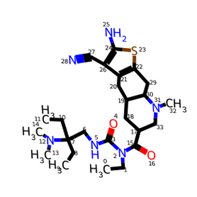 CCN(C(=O)NCC(CC)(CC)N(C)C)C(=O)C1CC2Cc3c(sc(N)c3C#N)CC2N(C)C1